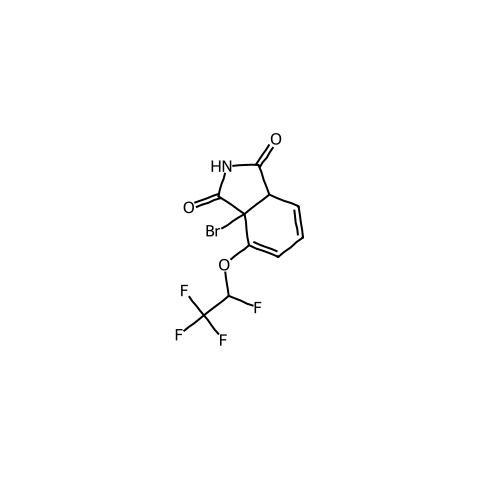 O=C1NC(=O)C2(Br)C(OC(F)C(F)(F)F)=CC=CC12